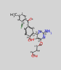 Cc1ccc(C(=O)c2ccc(O)c(-c3cc(OCCCO)nc(N)n3)c2)c(F)c1